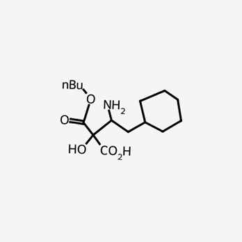 CCCCOC(=O)C(O)(C(=O)O)C(N)CC1CCCCC1